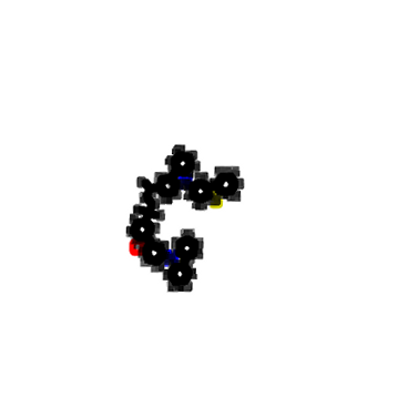 CC(CCC(C)(C)c1ccc2oc3ccc(-n4c5ccccc5c5ccccc54)cc3c2c1)c1ccc2c(c1)c1ccccc1n2-c1ccc2sc3ccccc3c2c1